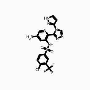 Bc1cnc(-c2nncn2-c2cc[nH]n2)c(NS(=O)(=O)c2ccc(Cl)c(C(F)(F)F)c2)c1